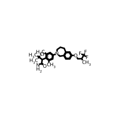 Cc1cc(N2CCCc3cc(OCC(C)C(F)(F)F)ccc3C2)cc(C)c1C(C(N)=O)C(C)(C)C